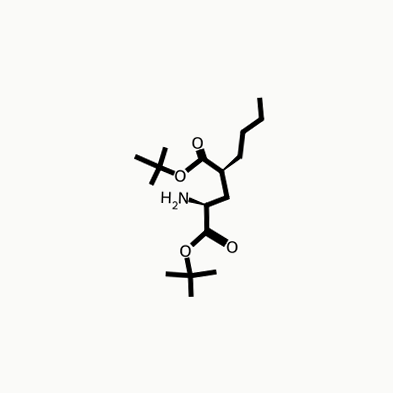 CCCC[C@@H](C[C@H](N)C(=O)OC(C)(C)C)C(=O)OC(C)(C)C